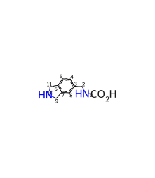 O=C(O)NCc1ccc2c(c1)CNC2